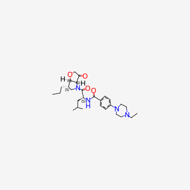 CCC[C@H]1CN(C(=O)[C@H](CC(C)C)NC(=O)c2ccc(N3CCN(CC)CC3)cc2)[C@@H]2C(=O)CO[C@H]12